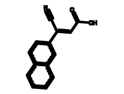 N#CC(=CC(=O)O)c1ccc2ccccc2c1